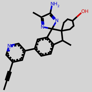 CC#Cc1cncc(-c2ccc3c(c2)C2(N=C(C)C(N)=N2)C2(CCC(O)CC2)C3C)c1